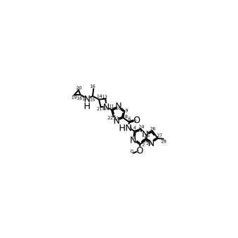 COc1nc(NC(=O)c2cnc(N3CC(C(C)NC4CC4)C3)cn2)cn2cc(C)nc12